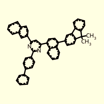 CC1(C)c2ccccc2-c2cc(-c3ccc(-c4cc(-c5ccc6ccccc6c5)nc(-c5ccc(-c6ccccc6)cc5)n4)c4ccccc34)ccc21